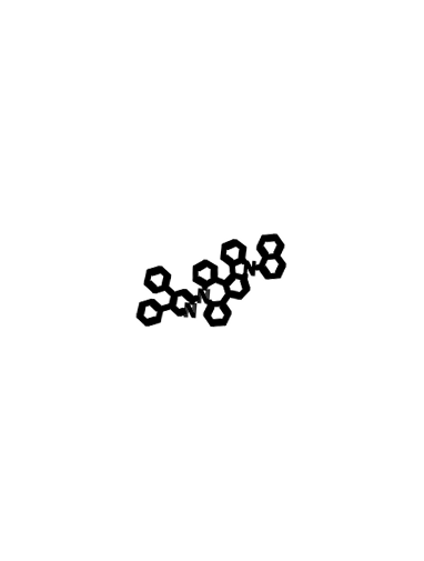 c1ccc(-c2cnc(N3c4ccccc4-c4ccc5c(c4-c4ccccc43)c3ccccc3n5-c3cccc4ccccc34)cc2-c2ccccc2)cc1